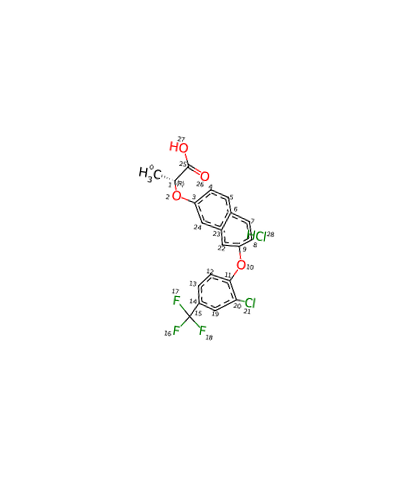 C[C@@H](Oc1ccc2ccc(Oc3ccc(C(F)(F)F)cc3Cl)cc2c1)C(=O)O.Cl